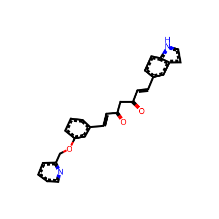 O=C(C=Cc1cccc(OCc2ccccn2)c1)CC(=O)C=Cc1ccc2[nH]ccc2c1